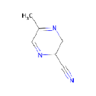 CC1=NCC(C#N)N=C1